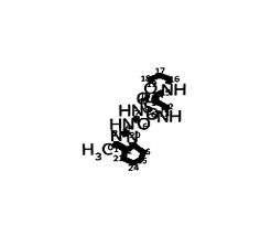 Cc1nc(NC(=O)NS(=O)(=O)/C(C=N)=C2/NCCCO2)nc2c1CCCC2